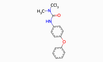 CN(C(=O)Nc1ccc(Oc2ccccc2)cc1)C(Cl)(Cl)Cl